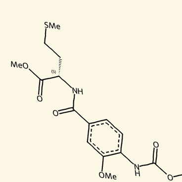 COC(=O)[C@H](CCSC)NC(=O)c1ccc(NC(=O)OC(C)(C)C)c(OC)c1